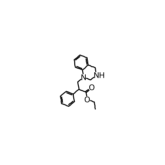 CCOC(=O)C(CN1CNCc2ccccc21)c1ccccc1